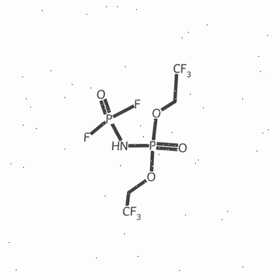 O=P(F)(F)NP(=O)(OCC(F)(F)F)OCC(F)(F)F